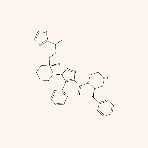 CC(OC[C@@]1(O)CCCC[C@@H]1n1cnc(C(=O)N2CCNC[C@H]2Cc2ccccc2)c1-c1ccccc1)c1nccs1